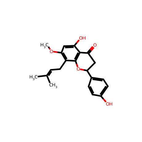 COc1cc(O)c2c(c1CC=C(C)C)OC(c1ccc(O)cc1)CC2=O